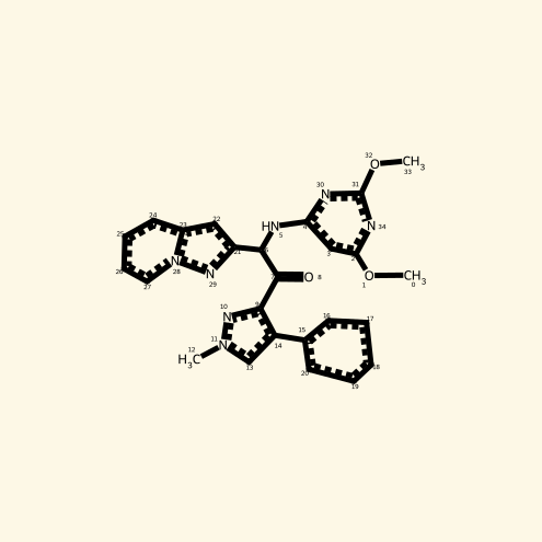 COc1cc(NC(C(=O)c2nn(C)cc2-c2ccccc2)c2cc3ccccn3n2)nc(OC)n1